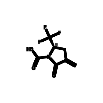 C=C1C[C@H](C(F)(F)F)N(C(=O)O)C1=O